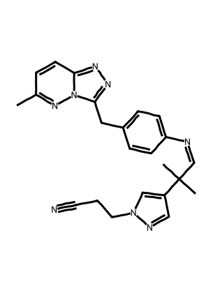 Cc1ccc2nnc(Cc3ccc(/N=C\C(C)(C)c4cnn(CCC#N)c4)cc3)n2n1